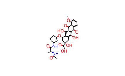 COc1cccc2c1C(=O)c1c(O)c3c(c(O)c1C2=O)C[C@](O)(C(=O)CO)C[C@@H]3OC1CCCC(NC(=O)[C@H](C)NC(C)=O)C1